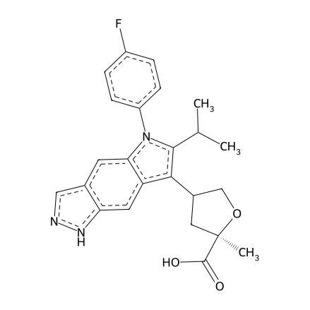 CC(C)c1c(C2CO[C@@](C)(C(=O)O)C2)c2cc3[nH]ncc3cc2n1-c1ccc(F)cc1